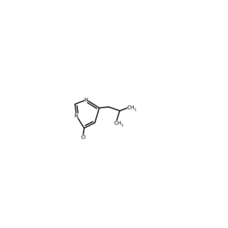 C[C](C)Cc1cc(Cl)ncn1